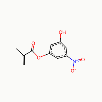 C=C(C)C(=O)Oc1cc(O)cc([N+](=O)[O-])c1